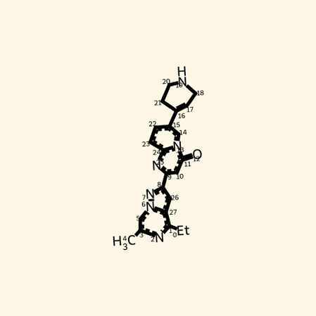 CCc1nc(C)cn2nc(-c3cc(=O)n4cc(C5=CCNCC5)ccc4n3)cc12